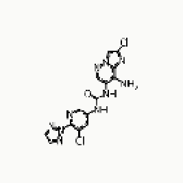 Nc1c(NC(=O)Nc2cnc(-n3nccn3)c(Cl)c2)cnn2cc(Cl)nc12